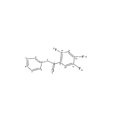 O=C(Cc1ccccc1)c1cc(F)c(F)cc1F